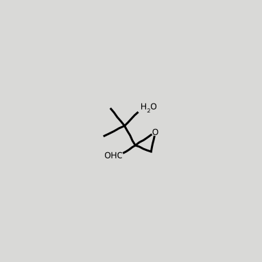 CC(C)(C)C1(C=O)CO1.O